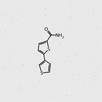 NC(=O)c1ccc(-c2ccsc2)s1